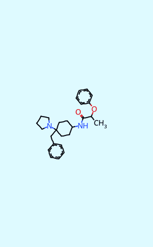 CC(Oc1ccccc1)C(=O)NC1CCC(Cc2ccccc2)(N2CCCC2)CC1